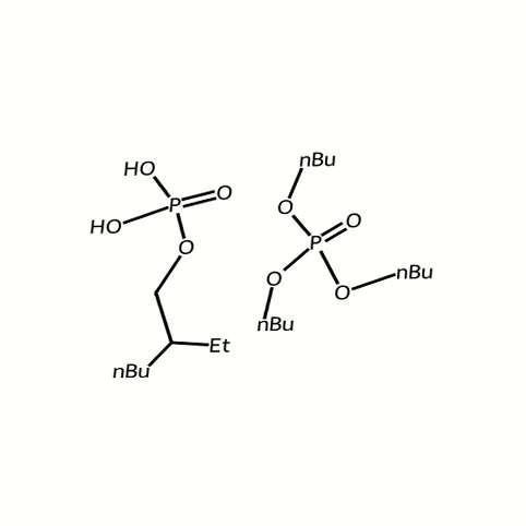 CCCCC(CC)COP(=O)(O)O.CCCCOP(=O)(OCCCC)OCCCC